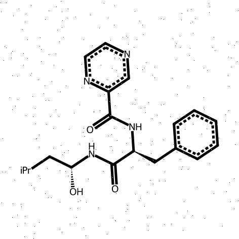 CC(C)C[C@@H](O)NC(=O)[C@H](Cc1ccccc1)NC(=O)c1cnccn1